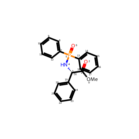 COC(=O)[C@@H](NP(=O)(c1ccccc1)c1ccccc1)c1ccccc1